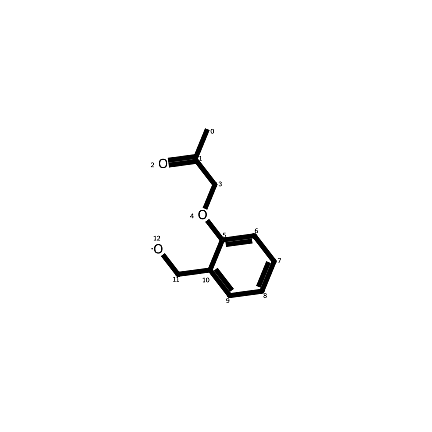 CC(=O)COc1ccccc1C[O]